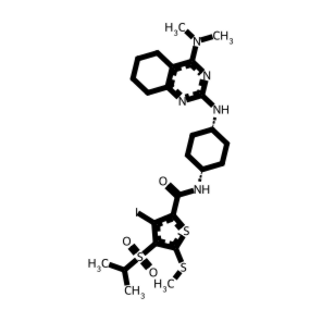 CSc1sc(C(=O)N[C@H]2CC[C@@H](Nc3nc4c(c(N(C)C)n3)CCCC4)CC2)c(I)c1S(=O)(=O)C(C)C